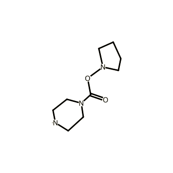 O=C(ON1CCCC1)N1CC[N]CC1